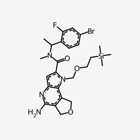 CC(c1ccc(Br)cc1F)N(C)C(=O)c1cc2nc(N)c3c(c2n1COCC[Si](C)(C)C)COC3